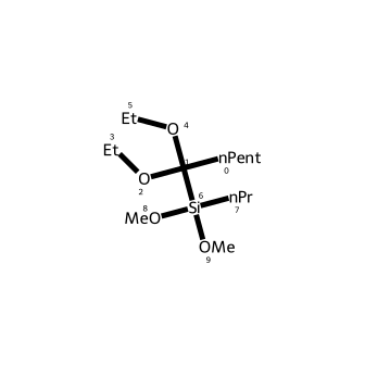 CCCCCC(OCC)(OCC)[Si](CCC)(OC)OC